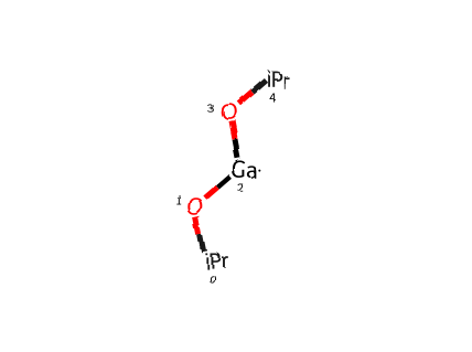 CC(C)[O][Ga][O]C(C)C